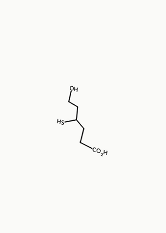 O=C(O)CCC(S)CCO